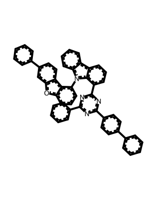 c1ccc(-c2ccc(-c3nc(-c4ccccc4)nc(-c4cccc5c6ccccc6n(-c6cccc7oc8cc(-c9ccccc9)ccc8c67)c45)n3)cc2)cc1